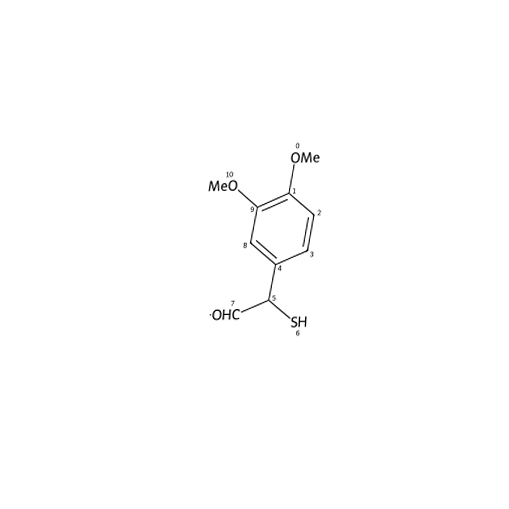 COc1ccc(C(S)[C]=O)cc1OC